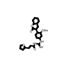 COc1cc(NC(=N)NC(=O)/C=C/c2ccco2)ccc1-c1cc2ccccc2oc1=O